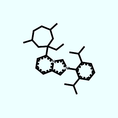 CCC1(c2cccc3c[n+](-c4c(C(C)C)cccc4C(C)C)cn23)CC(C)CCC(C)C1